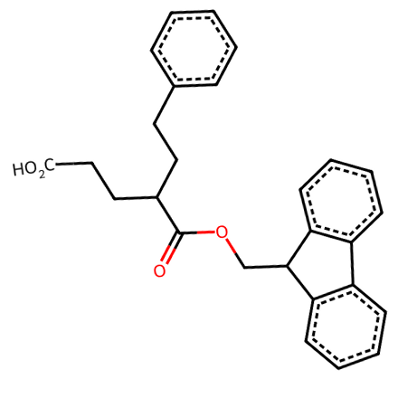 O=C(O)CCC(CCc1ccccc1)C(=O)OCC1c2ccccc2-c2ccccc21